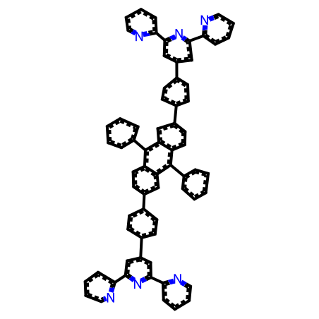 c1ccc(-c2c3ccc(-c4ccc(-c5cc(-c6ccccn6)nc(-c6ccccn6)c5)cc4)cc3c(-c3ccccc3)c3ccc(-c4ccc(-c5cc(-c6ccccn6)nc(-c6ccccn6)c5)cc4)cc23)cc1